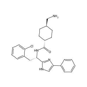 NC[C@H]1CC[C@H](C(=O)N[C@@H](Cc2ccccc2Cl)c2nc(-c3ccccc3)c[nH]2)CC1